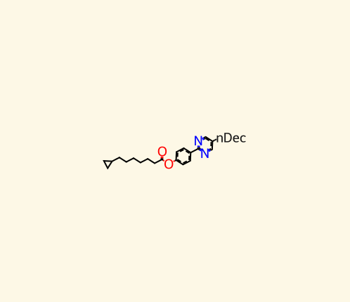 CCCCCCCCCCc1cnc(-c2ccc(OC(=O)CCCCCCC3CC3)cc2)nc1